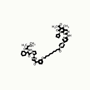 CN[C@@H](C)C(=O)N[C@H](C(=O)N1CCC[C@H]1c1nc(C(=O)c2cccc(OCCCCCCCCC(=O)N3CCN(c4ccc(Nc5ncc6c(C)c(C(C)=O)c(=O)n(C7CCCC7)c6n5)nc4)CC3)c2)cs1)C1CCCCC1